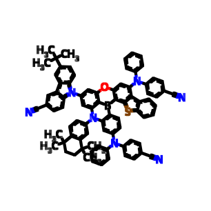 CC(C)(C)c1ccc2c(c1)c1cc(C#N)ccc1n2-c1cc2c3c(c1)N(c1ccc4c(c1)C(C)(C)CCC4(C)C)c1cc(N(c4ccccc4)c4ccc(C#N)cc4)ccc1B3c1c(cc(N(c3ccccc3)c3ccc(C#N)cc3)c3c1sc1ccccc13)O2